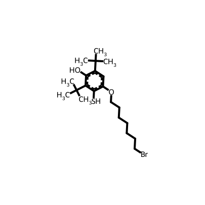 CC(C)(C)c1cc(OCCCCCCCBr)c(S)c(C(C)(C)C)c1O